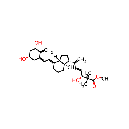 C=C(/C=C/[C@H](O)C(C)(C)C(=O)OC)[C@H]1CC[C@H]2/C(=C/C=C3/C[C@@H](O)C[C@H](O)C3=C)CCC[C@]12C